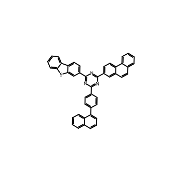 c1ccc2c(-c3ccc(-c4nc(-c5ccc6c(ccc7ccccc76)c5)nc(-c5ccc6c(c5)sc5ccccc56)n4)cc3)cccc2c1